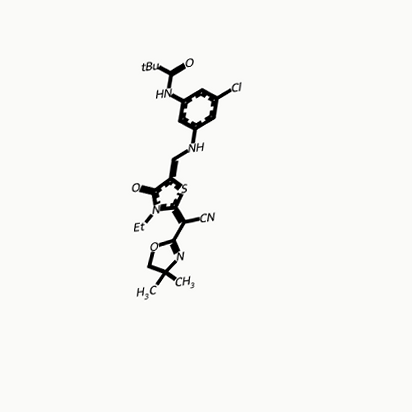 CCn1c(=C(C#N)C2=NC(C)(C)CO2)sc(=CNc2cc(Cl)cc(NC(=O)C(C)(C)C)c2)c1=O